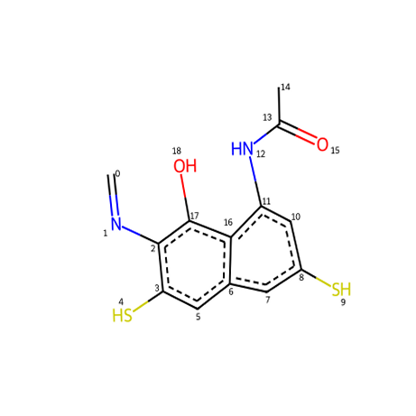 C=Nc1c(S)cc2cc(S)cc(NC(C)=O)c2c1O